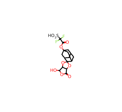 O=C1OC(O)C2OC3(OC12)C1CC2CC3CC(OC(=O)C(F)(F)S(=O)(=O)O)(C2)C1